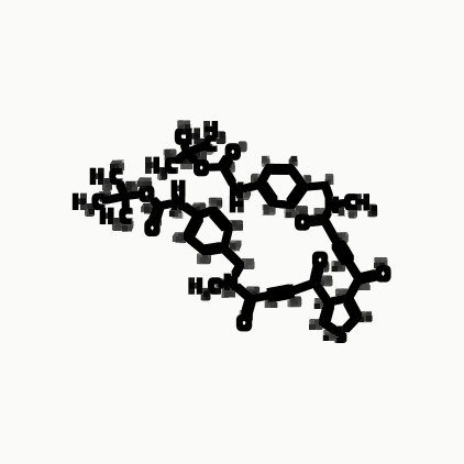 CN(Cc1ccc(NC(=O)OC(C)(C)C)cc1)C(=O)C#CC(=O)c1cscc1C(=O)C#CC(=O)N(C)Cc1ccc(NC(=O)OC(C)(C)C)cc1